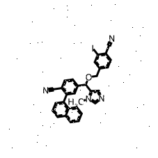 Cn1cncc1C(OCc1ccc(C#N)c(I)c1)c1ccc(C#N)c(-c2cccc3ccccc23)c1